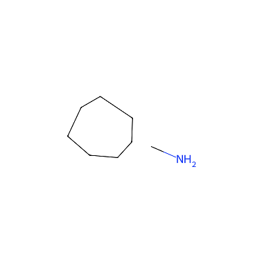 C1CCCCCC1.CN